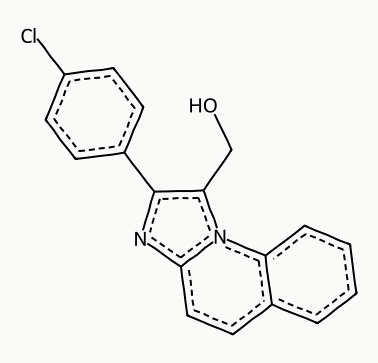 OCc1c(-c2ccc(Cl)cc2)nc2ccc3ccccc3n12